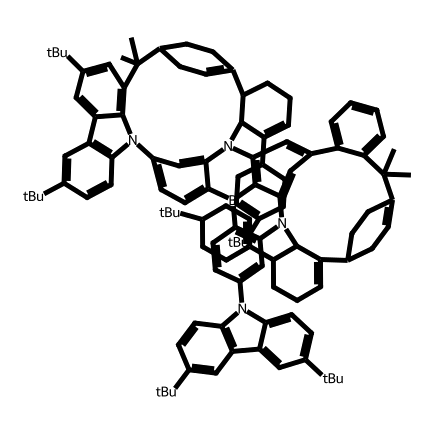 CC(C)(C)C1=CCC(C2=CCCC3C4=CCC(CC4)C(C)(C)c4cc(C(C)(C)C)cc5c6cc(C(C)(C)C)ccc6n(c45)-c4ccc5c(c4)N(c4cc6cc7c4B5c4ccc(-n5c8ccc(C(C)(C)C)cc8c8cc(C(C)(C)C)ccc85)cc4N7C4C(=CCCC4C4=CCC(C(C)(C)C)CC4)C4CC=C(CC4)C(C)(C)c4ccccc4-6)C23)CC1